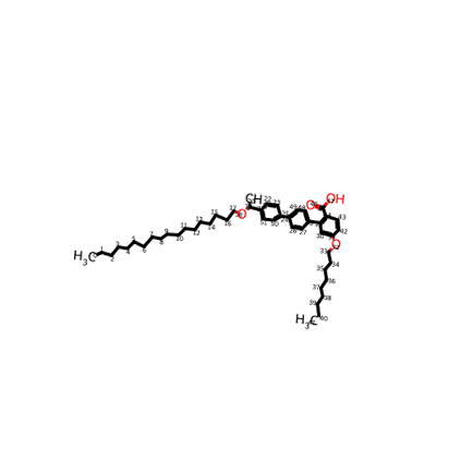 CCCCCCCCCCCCCCCCCCOC(C)c1ccc(-c2ccc(-c3cc(OCCCCCCCCC)ccc3C(=O)O)cc2)cc1